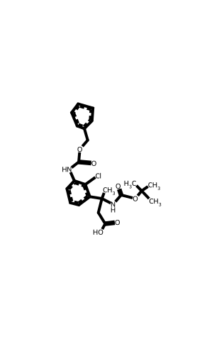 CC(C)(C)OC(=O)NC(C)(CC(=O)O)c1cccc(NC(=O)OCc2ccccc2)c1Cl